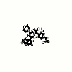 Cc1nc2c(N3CCOCC3)nc(-c3cccc4[nH]ncc34)cn2c1C1CCN(C=S(=O)=O)CC1